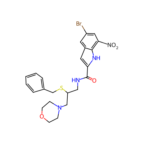 O=C(NCC(CN1CCOCC1)SCc1ccccc1)c1cc2cc(Br)cc([N+](=O)[O-])c2[nH]1